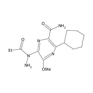 CCC(=O)N(N)c1nc(C(N)=O)c(C2CCCCC2)nc1OC